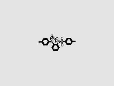 Cc1ccc(N(c2ccccc2NS(=O)(=O)c2ccc(C)cc2)[SH](=O)=O)cc1